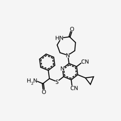 N#Cc1c(SC(C(N)=O)c2ccccc2)nc(N2CCNC(=O)CC2)c(C#N)c1C1CC1